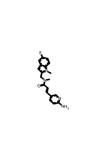 CN(Cc1cc2cc(F)ccc2n1C)C(=O)/C=C/c1ccc(N)nc1